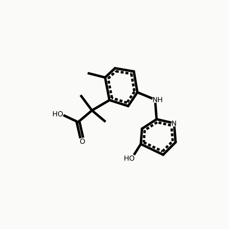 Cc1ccc(Nc2cc(O)ccn2)cc1C(C)(C)C(=O)O